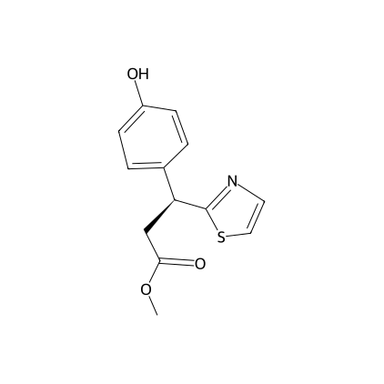 COC(=O)C[C@@H](c1ccc(O)cc1)c1nccs1